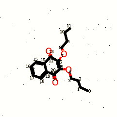 CCCCOC1=C(OCCCC)C(=O)c2ccccc2C1=O